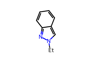 [CH2]Cn1cc2ccccc2n1